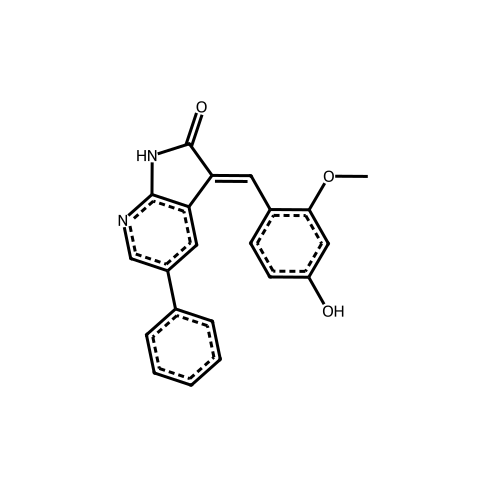 COc1cc(O)ccc1/C=C1/C(=O)Nc2ncc(-c3ccccc3)cc21